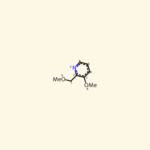 COCc1ncc[c]c1OC